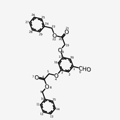 O=Cc1cc(OCC(=O)OCc2ccccc2)cc(OCC(=O)OCc2ccccc2)c1